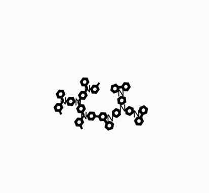 Cc1cccc(N(c2ccccc2)c2ccc(N(c3ccc(N(c4ccccc4)c4cccc(C)c4)cc3)c3ccc(N(c4ccc(-c5ccc6c(c5)c5ccccc5n6-c5ccc(N(c6ccc(-n7c8ccccc8c8ccccc87)cc6)c6ccc(-n7c8ccccc8c8ccccc87)cc6)cc5)cc4)c4cccc(C)c4)cc3)cc2)c1